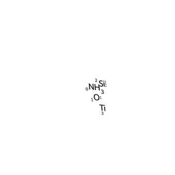 N.[O].[Si].[Ti]